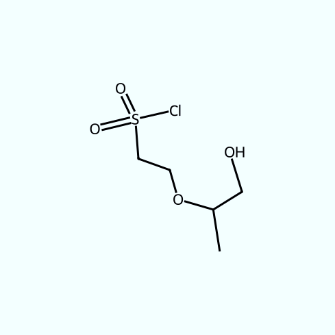 CC(CO)OCCS(=O)(=O)Cl